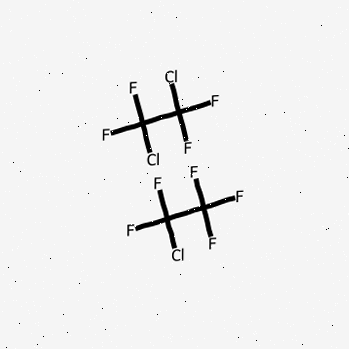 FC(F)(Cl)C(F)(F)Cl.FC(F)(F)C(F)(F)Cl